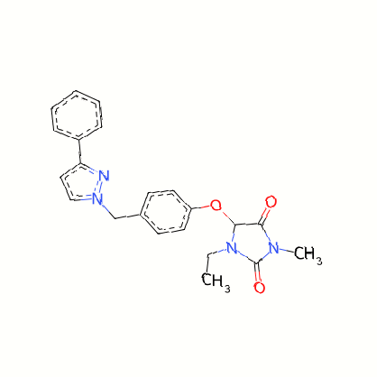 CCN1C(=O)N(C)C(=O)C1Oc1ccc(Cn2ccc(-c3ccccc3)n2)cc1